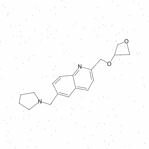 c1cc2nc(COC3COC3)ccc2cc1CN1CCCC1